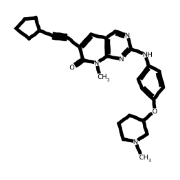 CN1CCCC(Oc2ccc(Nc3ncc4cc(C#CC5CCCC5)c(=O)n(C)c4n3)cc2)C1